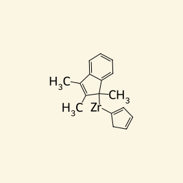 CC1=C(C)[C](C)([Zr][C]2=CC=CC2)c2ccccc21